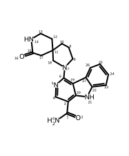 NC(=O)c1cnc(N2CCCC3(CCNC(=O)C3)C2)c2c1[nH]c1ccccc12